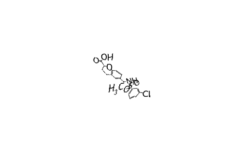 CC(NS(=O)(=O)c1cccc(Cl)c1)c1ccc2c(c1)CCC(C(=O)O)O2